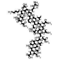 CC[C@H](C)[C@H](NC(=O)[C@H](CC(C)C)NC(=O)[C@H](CC(=O)O)NC(=O)[C@H](CCC(N)=O)NC(=O)[C@H](CC(N)=O)NC(=O)[C@H](CC(=O)O)NC(=O)[C@H](CCC(N)=O)NC(=O)[C@H](CC(C)C)NC(=O)[C@H](CC(=O)O)NC(=O)[C@H](CC(=O)O)NC(=O)[C@H](CCC(=O)O)NC(=O)CN)C(=O)N[C@@H](CCCNC(=N)N)C(=O)N[C@@H](CC(=O)O)C(=O)N[C@@H](CCCCN)C(=O)N[C@@H](CO)C(=O)N[C@@H](CC(N)=O)C(=O)O